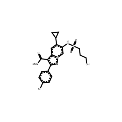 CNC(=O)c1c(-c2ccc(Cl)cc2)nn2cc(NS(=O)(=O)CCCO)c(C3CC3)cc12